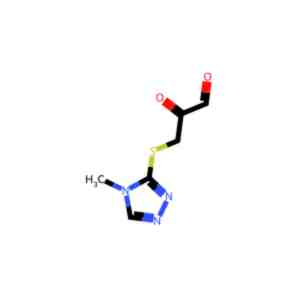 Cn1cnnc1SCC(=O)C=O